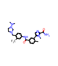 Cc1ccc(C(=O)Nc2ccc(CN3CCN(N(C)C)C3)c(C(F)(F)F)c2)cc1-c1cnc(C(N)=O)n1C